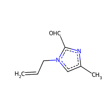 C=CCn1cc(C)nc1C=O